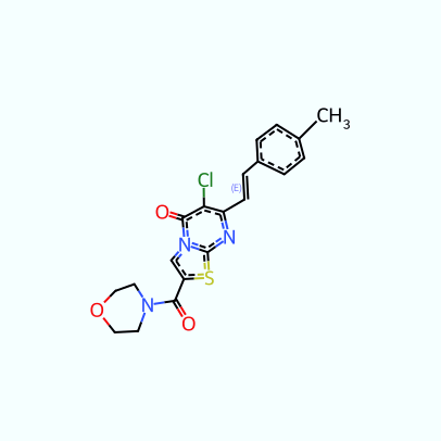 Cc1ccc(/C=C/c2nc3sc(C(=O)N4CCOCC4)cn3c(=O)c2Cl)cc1